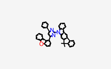 CC1(C)c2ccccc2-c2cc3c4ccccc4n(-c4nc(-c5ccccc5)cc(-c5cccc6oc7ccccc7c56)n4)c3cc21